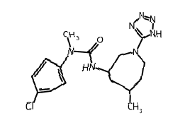 CC1CCN(c2nnn[nH]2)CC(NC(=O)N(C)c2ccc(Cl)cc2)C1